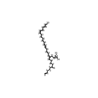 C=CCCCC(C)CCCCC(CCCCCCCCCCCC/C=C\CCCCC)CCN(C)C